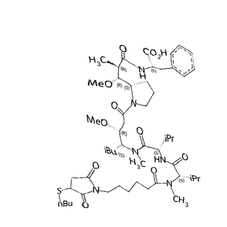 CCCCSC1CC(=O)N(CCCCCC(=O)N(C)[C@H](C(=O)N[C@H](C(=O)N(C)C([C@@H](C)CC)[C@@H](CC(=O)N2CCC[C@H]2[C@H](OC)[C@@H](C)C(=O)N[C@@H](Cc2ccccc2)C(=O)O)OC)C(C)C)C(C)C)C1=O